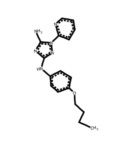 CCCCOc1ccc(Nc2nc(N)n(-c3ccccn3)n2)cc1